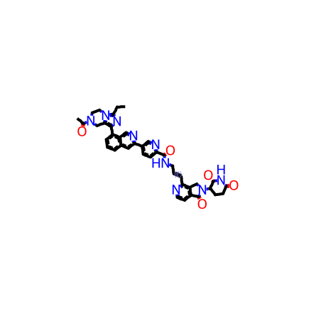 CCc1nc(-c2cccc3cc(-c4ccc(C(=O)NC/C=C/c5nccc6c5CN(C5CCC(=O)NC5=O)C6=O)nc4)ncc23)c2n1CCN(C(C)=O)C2